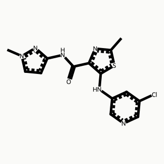 Cc1nc(C(=O)Nc2ccn(C)n2)c(Nc2cncc(Cl)c2)s1